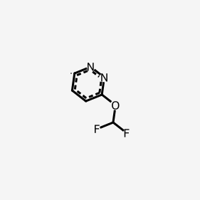 FC(F)Oc1cc[c]nn1